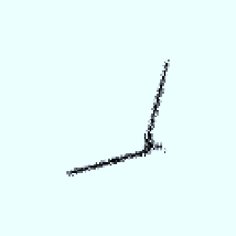 CCCCCCCCCCCCCCCCCCCCCCOCCCCCCCCCCCCOC1CCC(C(N)C2CCC(OCCCCCCCCCCCCOCCCCCCCCCCCCCCCCCCCCCC)CC2)CC1